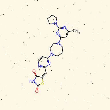 Cc1cc(N2CCCN(c3ccnc(C=C4SC(=O)NC4=O)n3)CC2)nc(N2CCCC2)n1